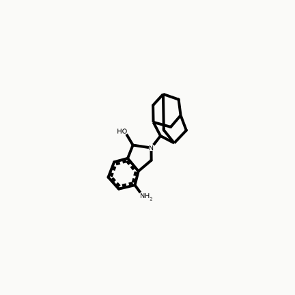 Nc1cccc2c1CN(C1C3CC4CC(C3)CC1C4)C2O